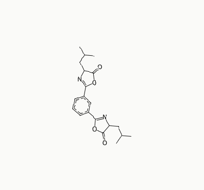 CC(C)CC1N=C(c2cccc(C3=NC(CC(C)C)C(=O)O3)c2)OC1=O